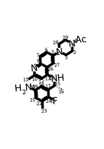 CC(=O)N1CCN(c2ccc3nc(C)cc(N[C@H](C)c4cc(N)cc(C)c4F)c3c2)CC1